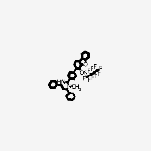 CN1C(C2=CC=CCC2)C=C(c2ccccc2)NC1c1ccc(-c2ccc3c(oc4ccccc43)c2OSC(F)(F)C(F)(F)C(F)(F)C(F)(F)F)cc1